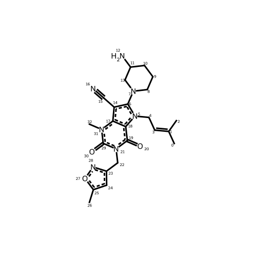 CC(C)=CCn1c(N2CCCC(N)C2)c(C#N)c2c1c(=O)n(Cc1cc(C)on1)c(=O)n2C